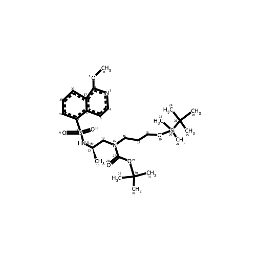 COc1nccc2c(S(=O)(=O)N[C@H](C)CN(CCCO[Si](C)(C)C(C)(C)C)C(=O)OC(C)(C)C)cccc12